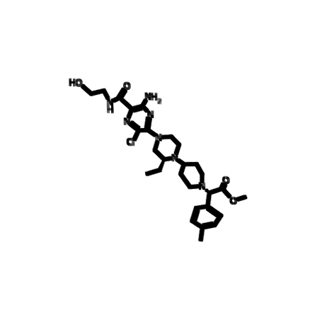 CC[C@H]1CN(c2nc(N)c(C(=O)NCCO)nc2Cl)CCN1C1CCN([C@H](C(=O)OC)c2ccc(C)cc2)CC1